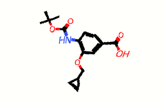 CC(C)(C)OC(=O)Nc1ccc(C(=O)O)cc1OCC1CC1